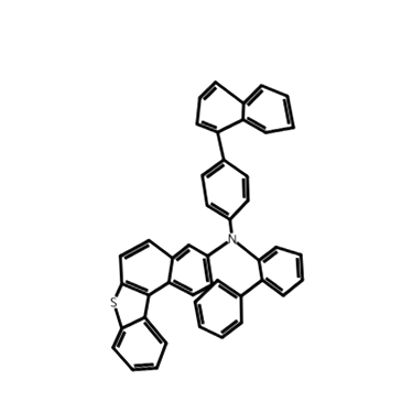 c1ccc(-c2ccccc2N(c2ccc(-c3cccc4ccccc34)cc2)c2ccc3c(ccc4sc5ccccc5c43)c2)cc1